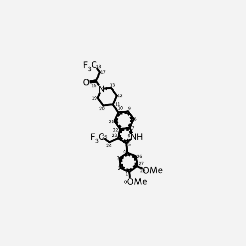 COc1ccc(-c2[nH]c3ccc(C4CCN(C(=O)CC(F)(F)F)CC4)cc3c2CC(F)(F)F)cc1OC